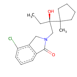 CC[C@@](O)(CN1Cc2c(Cl)cccc2C1=O)C1(C)CCCC1